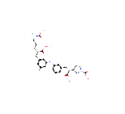 CN(CCCC(Cc1cc(Nc2cccc(C[C@H](C(=O)OC(C)(C)C)C3CCN(C(=O)OC(C)(C)C)C3)c2)cc(C(F)(F)F)c1)C(=O)OC(C)(C)C)C(=O)OC(C)(C)C